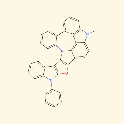 Cn1c2cccc3c4ccccc4n4c5c(ccc1c5c32)c1oc2c(c3ccccc3n2-c2ccccc2)c14